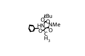 CNC(=O)[C@@H](NC(=O)OC(C)(C)C)[C@@H](C)OCc1ccccc1